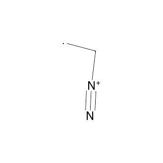 [CH2]C[N+]#N